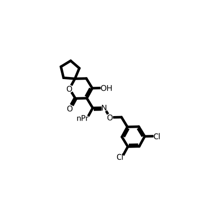 CCCC(=NOCc1cc(Cl)cc(Cl)c1)C1=C(O)CC2(CCCC2)OC1=O